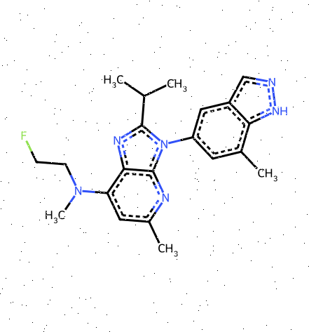 Cc1cc(N(C)CCF)c2nc(C(C)C)n(-c3cc(C)c4[nH]ncc4c3)c2n1